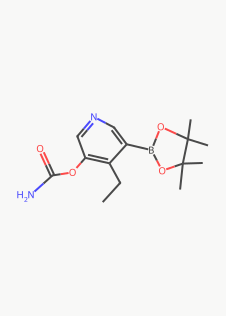 CCc1c(OC(N)=O)cncc1B1OC(C)(C)C(C)(C)O1